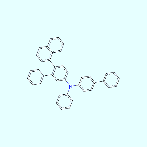 C1=C=CC(c2cc(N(c3ccccc3)c3ccc(-c4ccccc4)cc3)ccc2-c2cccc3ccccc23)=CC=1